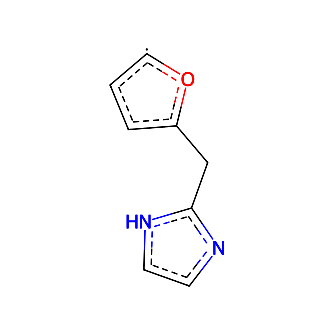 [c]1ccc(Cc2ncc[nH]2)o1